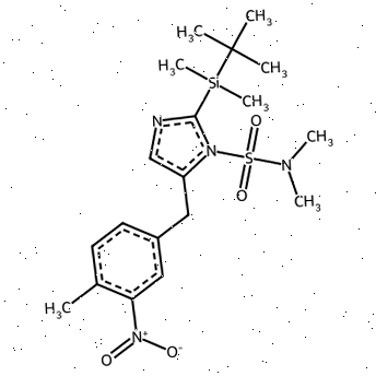 Cc1ccc(Cc2cnc([Si](C)(C)C(C)(C)C)n2S(=O)(=O)N(C)C)cc1[N+](=O)[O-]